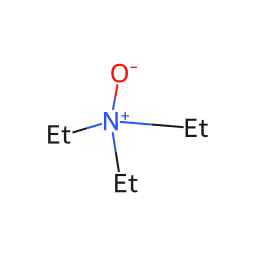 CC[N+]([O-])(CC)CC